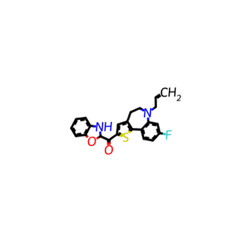 C=CCN1CCc2cc(C(=O)C3Nc4ccccc4O3)sc2-c2ccc(F)cc21